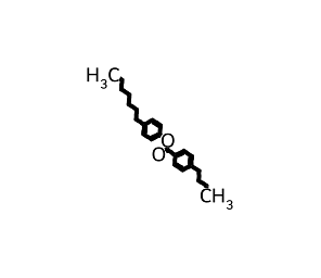 CCCCCCCc1ccc(OC(=O)c2ccc(CCCC)cc2)cc1